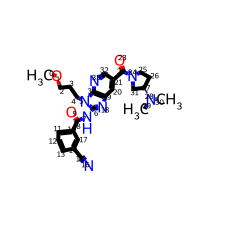 COCCCn1c(NC(=O)c2cccc(C#N)c2)nc2cc(C(=O)N3CC[C@H](N(C)C)C3)cnc21